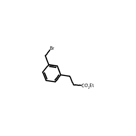 CCOC(=O)CCc1cccc(CBr)c1